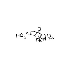 CCOc1ccc2oc3cc(C(=O)O)ccc3c(=O)c2c1.[NaH]